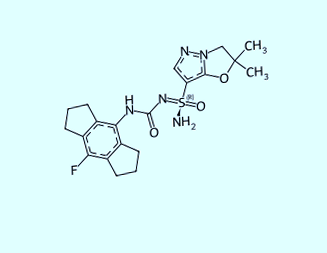 CC1(C)Cn2ncc([S@](N)(=O)=NC(=O)Nc3c4c(c(F)c5c3CCC5)CCC4)c2O1